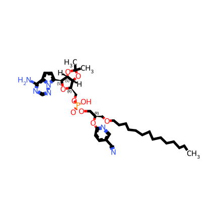 CCCCCCCCCCCCCCOC[C@H](COP(=O)(O)OC[C@H]1O[C@@H](c2ccc3c(N)ncnn23)[C@@H]2OC(C)(C)O[C@@H]21)Oc1ccc(C#N)cn1